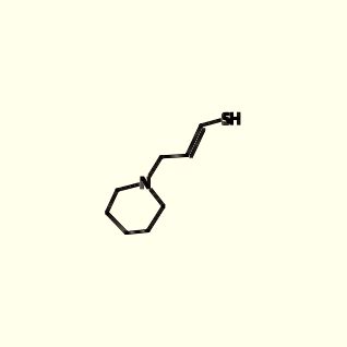 SC=CCN1CCCCC1